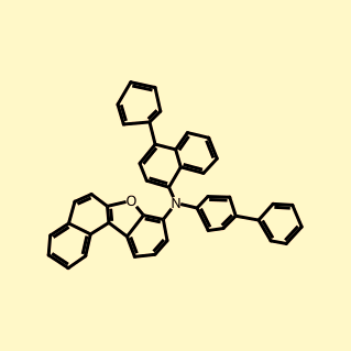 c1ccc(-c2ccc(N(c3ccc(-c4ccccc4)c4ccccc34)c3cccc4c3oc3ccc5ccccc5c34)cc2)cc1